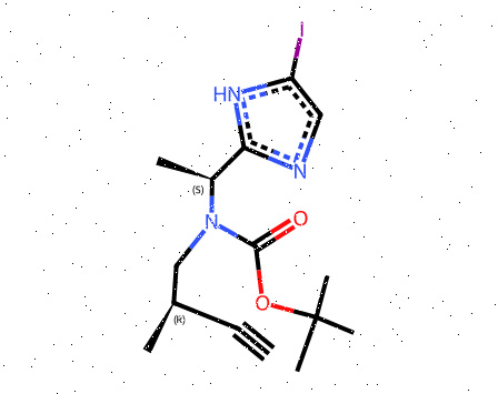 C#C[C@@H](C)CN(C(=O)OC(C)(C)C)[C@@H](C)c1ncc(I)[nH]1